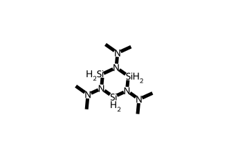 CN(C)N1[SiH2]N(N(C)C)[SiH2]N(N(C)C)[SiH2]1